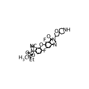 CCN(C)S(=O)(=O)Nc1ccc(F)c(Oc2ccc3ncn(C4COC5(CCNCC5)C4)c(=O)c3c2F)c1C#N